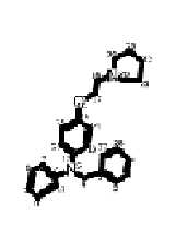 c1ccc(CN(c2ccccc2)c2ccc(OCCN3CCCCC3)cc2)cc1